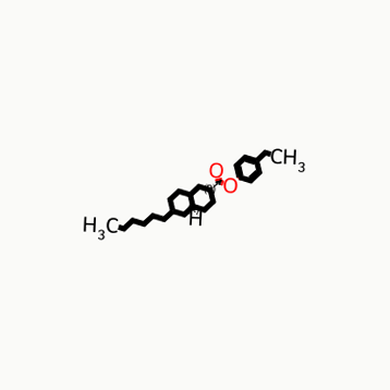 CCCCCCC1CCC2C[C@H](C(=O)Oc3ccc(CC)cc3)CC[C@@H]2C1